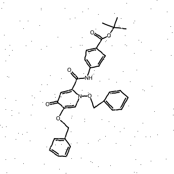 CC(C)(C)OC(=O)c1ccc(NC(=O)c2cc(=O)c(OCc3ccccc3)cn2OCc2ccccc2)cc1